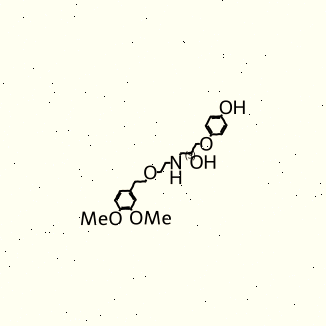 COc1ccc(CCOCCNC[C@H](O)COc2ccc(O)cc2)cc1OC